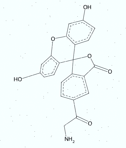 NCC(=O)c1ccc2c(c1)C(=O)OC21c2ccc(O)cc2Oc2cc(O)ccc21